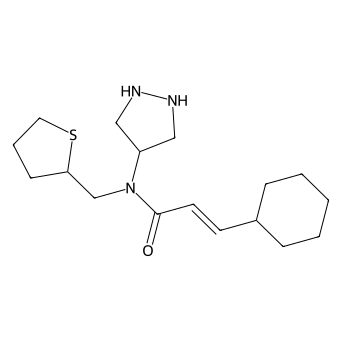 O=C(/C=C/C1CCCCC1)N(CC1CCCS1)C1CNNC1